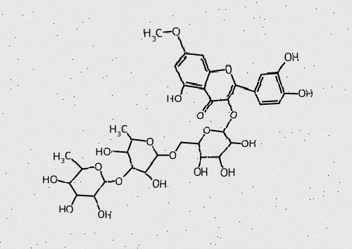 COc1cc(O)c2c(=O)c(OC3OC(COC4OC(C)C(O)C(OC5OC(C)C(O)C(O)C5O)C4O)C(O)C(O)C3O)c(-c3ccc(O)c(O)c3)oc2c1